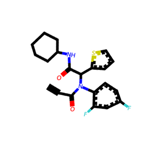 C#CC(=O)N(c1ccc(F)cc1F)C(C(=O)NC1CCCCC1)c1cccs1